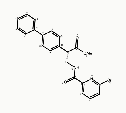 COC(=O)[C@H](CNC(=O)c1cccc(Br)n1)c1ccc(-c2ccccc2)cc1